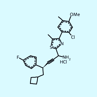 COc1cc(Cl)c(-c2nc(C(N)C#C[C@@H](CC3CCC3)c3ccc(F)cc3)sc2C)cc1C.Cl